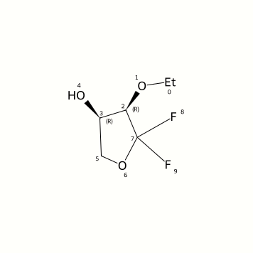 CCO[C@@H]1[C@H](O)COC1(F)F